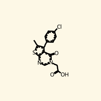 Cc1sc2ncn(CC(=O)O)c(=O)c2c1-c1ccc(Cl)cc1